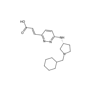 O=C(O)/C=C/c1ccc(N[C@@H]2CCN(CC3CCCCC3)C2)nn1